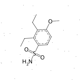 CCc1c(OC)ccc(S(N)(=O)=O)c1CC